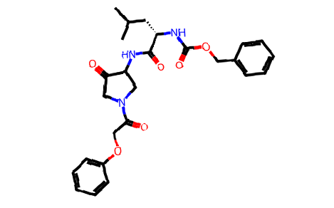 CC(C)C[C@H](NC(=O)OCc1ccccc1)C(=O)NC1CN(C(=O)COc2ccccc2)CC1=O